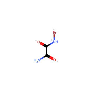 NC(=O)C(=O)NBr